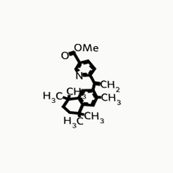 C=C(c1ccc(C(=O)OC)cn1)c1cc2c(cc1C)C(C)(C)CCC2(C)C